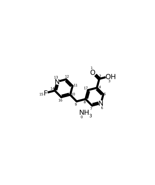 N.O=C(O)c1cncc(Cc2ccnc(F)c2)c1